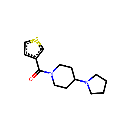 O=C(c1ccsc1)N1CCC(N2CCCC2)CC1